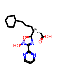 O=C(O)C[C@@H](CCCC1CCCCC1)C1N=C(c2ncccn2)N(O)O1